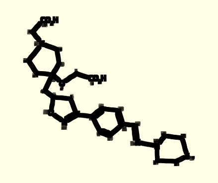 O=C(O)COC1(CC2CC(c3ccc(/C=N/N4CCSCC4)cc3)=NO2)CCN(CC(=O)O)CC1